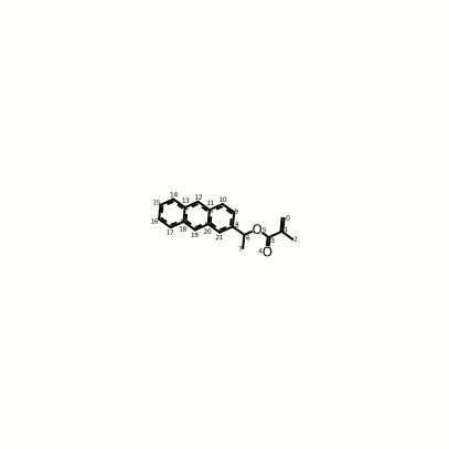 C=C(C)C(=O)OC(C)c1ccc2cc3ccccc3cc2c1